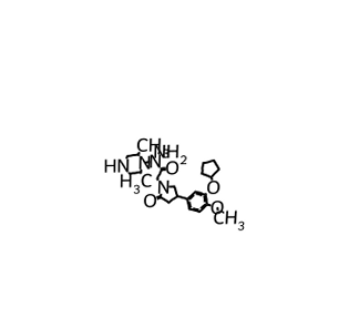 COc1ccc(C2CC(=O)N(CC(=O)N(N)N3C(C)CNCC3C)C2)cc1OC1CCCC1